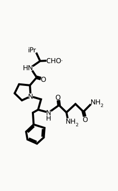 CC(C)C([C]=O)NC(=O)C1CCCN1CC(Cc1ccccc1)NC(=O)C(N)CC(N)=O